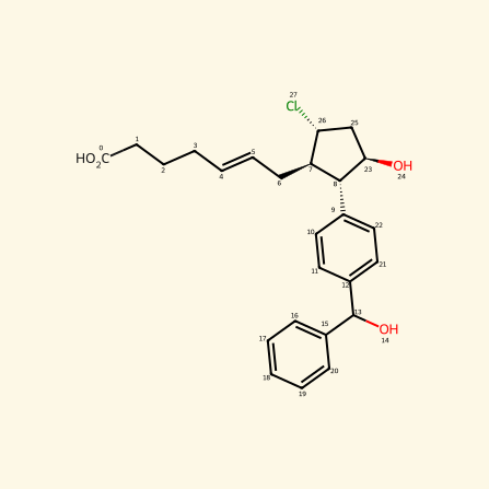 O=C(O)CCCC=CC[C@@H]1[C@@H](c2ccc(C(O)c3ccccc3)cc2)[C@H](O)C[C@H]1Cl